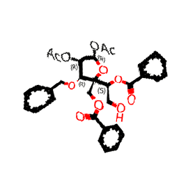 CC(=O)O[C@H]1O[C@](COC(=O)c2ccccc2)([C@H](CO)OC(=O)c2ccccc2)[C@H](OCc2ccccc2)[C@H]1OC(C)=O